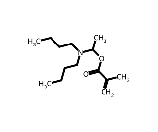 C=C(C)C(=O)OC(C)N(CCCC)CCCC